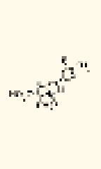 Cc1ccc(-c2cc3nc(C(=O)O)c(C)n3c(=O)[nH]2)cc1F